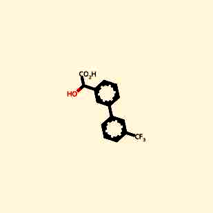 O=C(O)C(O)c1cccc(-c2cccc(C(F)(F)F)c2)c1